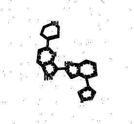 C1=C(c2ccc3[nH]nc(-c4cc5c(-c6ccsc6)cccc5[nH]4)c3n2)CCNC1